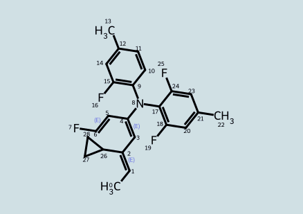 C/C=C(/C=C(\C=C\F)N(c1ccc(C)cc1F)c1c(F)cc(C)cc1F)C1CC1